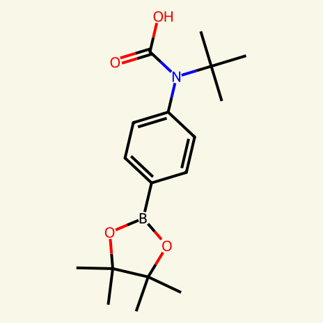 CC(C)(C)N(C(=O)O)c1ccc(B2OC(C)(C)C(C)(C)O2)cc1